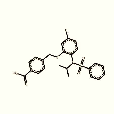 CC(C)N(c1ccc(F)cc1OCc1ccc(C(=O)O)cc1)S(=O)(=O)c1ccccc1